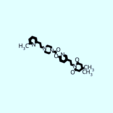 Cc1cccc(CCN2CCN(C(=O)Oc3ccc(CCN4C(=O)CC(C)(C)CC4=O)cn3)CC2)n1